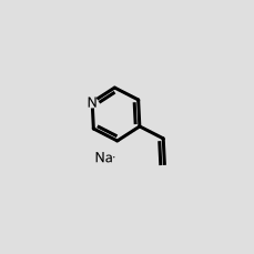 C=Cc1ccncc1.[Na]